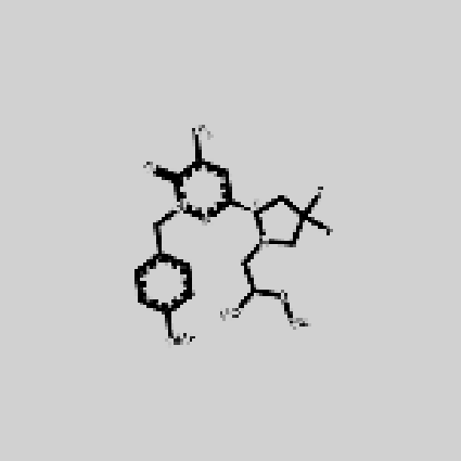 COc1ccc(Cn2nc([C@H]3CC(F)(F)CN3CC(O)OC(C)(C)C)cc(C(F)(F)F)c2=O)cc1